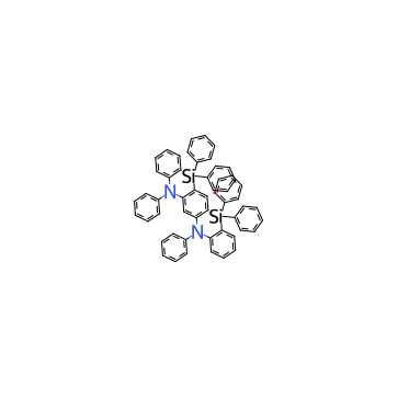 c1ccc(N2c3ccccc3[Si](c3ccccc3)(c3ccccc3)c3cc4c(cc32)N(c2ccccc2)c2ccccc2[Si]4(c2ccccc2)c2ccccc2)cc1